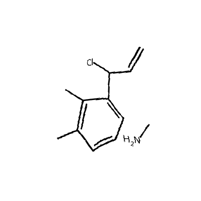 C=CC(Cl)c1cccc(C)c1C.CN